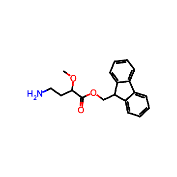 COC(CCN)C(=O)OCC1c2ccccc2-c2ccccc21